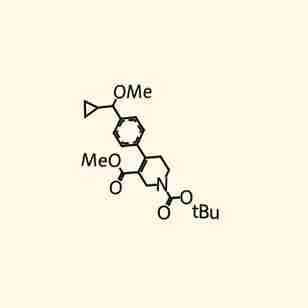 COC(=O)C1=C(c2ccc(C(OC)C3CC3)cc2)CCN(C(=O)OC(C)(C)C)C1